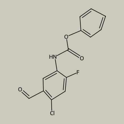 O=Cc1cc(NC(=O)Oc2ccccc2)c(F)cc1Cl